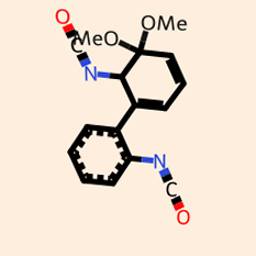 COC1(OC)C=CC=C(c2ccccc2N=C=O)C1N=C=O